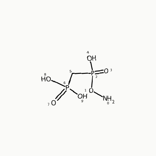 NOP(=O)(O)CP(=O)(O)O